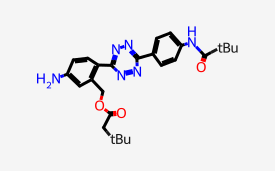 CC(C)(C)CC(=O)OCc1cc(N)ccc1-c1nnc(-c2ccc(NC(=O)C(C)(C)C)cc2)nn1